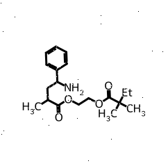 CCC(C)(C)C(=O)OCCOC(=O)C(C)CC(N)c1ccccc1